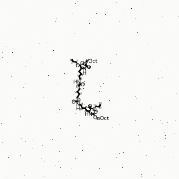 C=CCOC(=O)C(CCCCNC(=O)OCCCCOC(=O)NCCCCC(NC(=O)OCCCCCCCC)C(=O)OCC=C)NC(=O)OCCCCCCCC